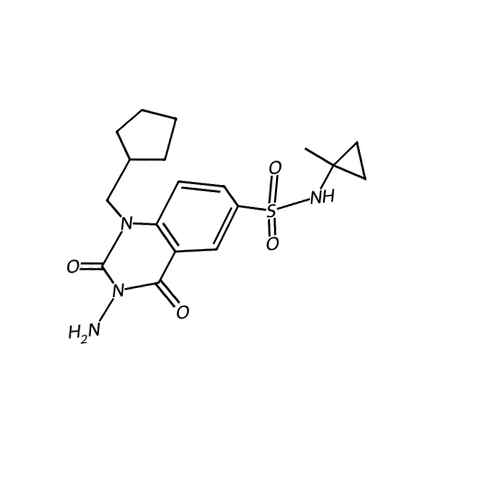 CC1(NS(=O)(=O)c2ccc3c(c2)c(=O)n(N)c(=O)n3CC2CCCC2)CC1